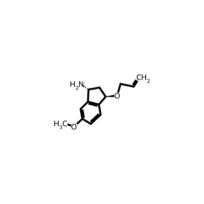 C=CCO[C@@H]1C[C@@H](N)c2cc(OC)ccc21